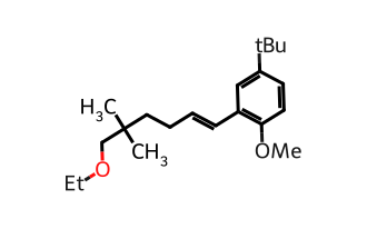 CCOCC(C)(C)CC/C=C/c1cc(C(C)(C)C)ccc1OC